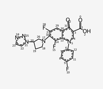 O=C(O)c1cn(-c2ccc(F)cc2)c2c(F)c(N3CCC(n4ccnn4)C3)c(F)cc2c1=O